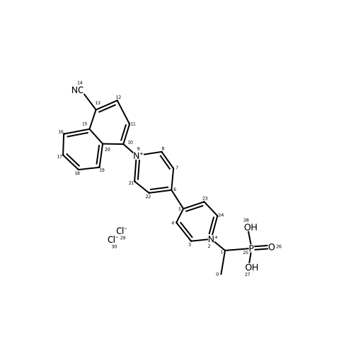 CC([n+]1ccc(-c2cc[n+](-c3ccc(C#N)c4ccccc34)cc2)cc1)P(=O)(O)O.[Cl-].[Cl-]